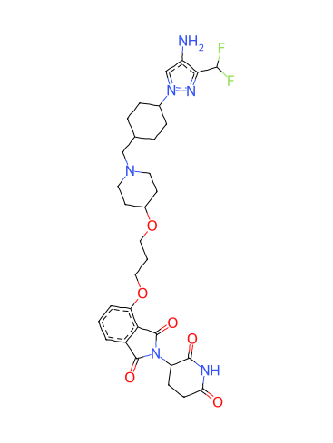 Nc1cn(C2CCC(CN3CCC(OCCCOc4cccc5c4C(=O)N(C4CCC(=O)NC4=O)C5=O)CC3)CC2)nc1C(F)F